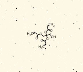 C=CC(=O)OCC(CO)(OC(=O)C=C)OC(=O)C=C